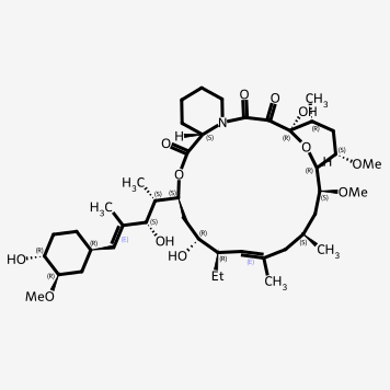 CC[C@@H]1/C=C(\C)C[C@H](C)C[C@H](OC)[C@H]2O[C@@](O)(C(=O)C(=O)N3CCCC[C@H]3C(=O)O[C@H]([C@@H](C)[C@H](O)/C(C)=C/[C@@H]3CC[C@@H](O)[C@H](OC)C3)C[C@H]1O)[C@H](C)C[C@@H]2OC